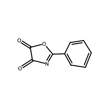 O=C1N=C(c2ccccc2)OC1=O